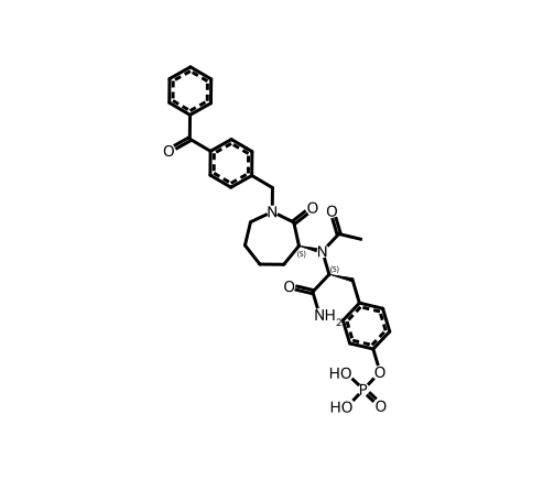 CC(=O)N([C@@H](Cc1ccc(OP(=O)(O)O)cc1)C(N)=O)[C@H]1CCCCN(Cc2ccc(C(=O)c3ccccc3)cc2)C1=O